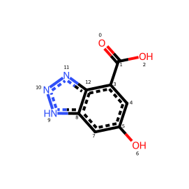 O=C(O)c1cc(O)cc2[nH]nnc12